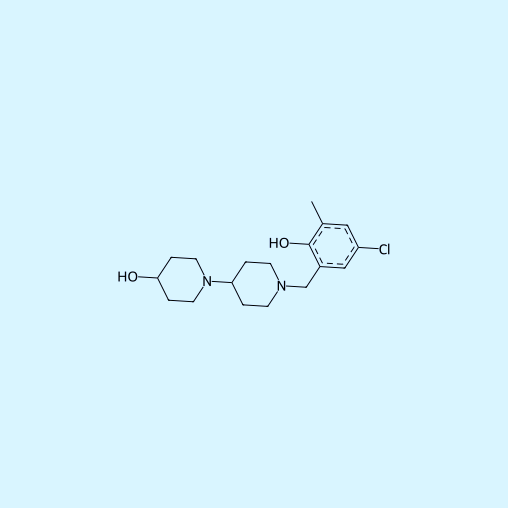 Cc1cc(Cl)cc(CN2CCC(N3CCC(O)CC3)CC2)c1O